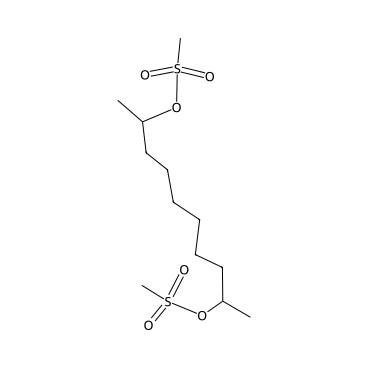 CC(CCCCCCC(C)OS(C)(=O)=O)OS(C)(=O)=O